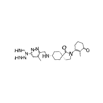 CC1=C(N2CC[C@]3(CC[C@@H](NCc4nnc(N(C=N)N=N)cc4C)CC3)C2=O)CCCC1=O